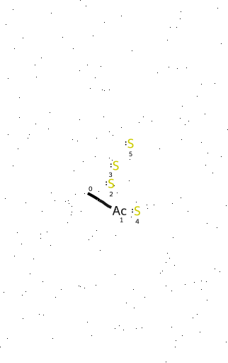 CC(C)=O.[S].[S].[S].[S]